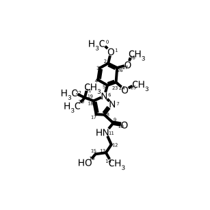 COc1ccc(-n2nc(C(=O)NCC(C)CO)cc2C(C)(C)C)c(OC)c1OC